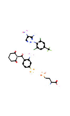 CP(=O)(O)CCC(N)C(=O)O.CS(=O)(=O)c1ccc(C(=O)C2C(=O)CCCC2=O)c([N+](=O)[O-])c1.Nc1c([N+](=O)[O-])cnn1-c1c(Cl)cc(C(F)(F)F)cc1Cl